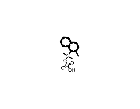 Cc1ccc2ccccc2c1[Si](C)(C)[O][Cr](=[O])(=[O])[OH]